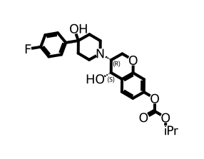 CC(C)OC(=O)Oc1ccc2c(c1)OC[C@@H](N1CCC(O)(c3ccc(F)cc3)CC1)[C@H]2O